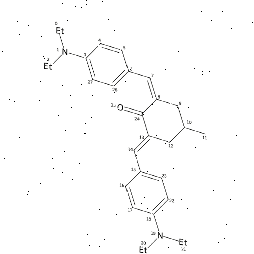 CCN(CC)c1ccc(/C=C2/CC(C)C/C(=C\c3ccc(N(CC)CC)cc3)C2=O)cc1